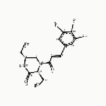 CC(C)C[C@H]1CN(C(=O)C=Cc2cc(F)c(F)c(F)c2)[C@@H](CC(C)C)C(=O)N1